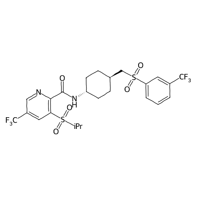 CC(C)S(=O)(=O)c1cc(C(F)(F)F)cnc1C(=O)N[C@H]1CC[C@H](CS(=O)(=O)c2cccc(C(F)(F)F)c2)CC1